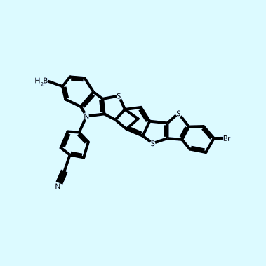 Bc1ccc2c3c(n(-c4ccc(C#N)cc4)c2c1)C1C2=c4sc5c(sc6cc(Br)ccc65)c4=CC1(C2)S3